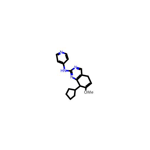 COC1=CCc2cnc(Nc3ccncc3)nc2C1C1CCCC1